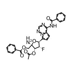 CC(=O)O[C@H]1[C@@H](F)[C@H](c2ccc3c(NC(=O)c4ccccc4)ncnn23)O[C@]1(N)COC(=O)c1ccccc1